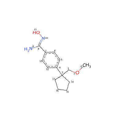 COCC1(c2ccc(/C(N)=N/O)cc2)CCCC1